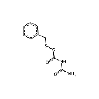 NC(=O)NC(=O)OSCc1ccccc1